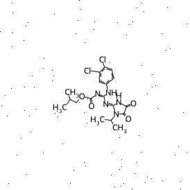 CC(C)COC(=O)N=C(N=C1NC(=O)C(=O)N1C(C)C)Nc1ccc(Cl)c(Cl)c1